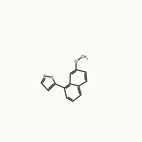 COc1ccc2cccc(-c3ccns3)c2c1